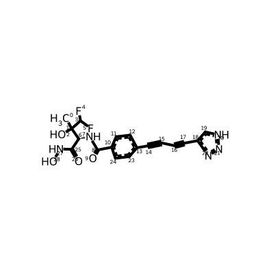 CC(O)(C(F)F)[C@H](NC(=O)c1ccc(C#CC#Cc2c[nH]nn2)cc1)C(=O)NO